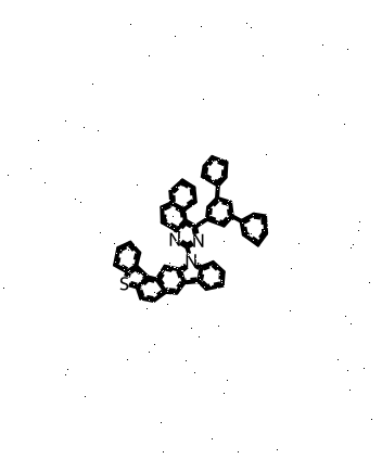 c1ccc(-c2cc(-c3ccccc3)cc(-c3nc(-n4c5ccccc5c5cc6ccc7sc8ccccc8c7c6cc54)nc4ccc5ccccc5c34)c2)cc1